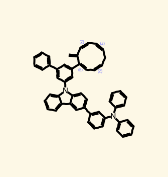 C=C1/C=C\C=C/C/C=C\C=C/1c1cc(-c2ccccc2)cc(-n2c3ccccc3c3cc(-c4cccc(N(c5ccccc5)c5ccccc5)c4)ccc32)c1